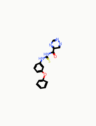 O=C(NC(=S)Nc1cccc(Oc2ccccc2)c1)c1cnncn1